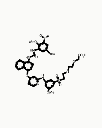 COc1cc(Nc2cc(Oc3ccc(NC(=O)Nc4cc(C(C)(C)C)cc([S+](C)[O-])c4OC)c4ccccc34)ccn2)cc(S(=O)(=O)CCOCCOCC(=O)O)c1